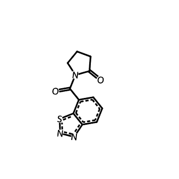 O=C1CCCN1C(=O)c1cccc2nnsc12